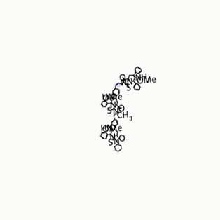 COc1ccccc1C1c2[nH]c3ccccc3c2CC2C(=O)N(C/C=C\c3ccc4c5c([nH]c4c3)C(c3ccccc3OC)N3C(=S)N(C(C)Cc4ccc6c7c([nH]c6c4)C(c4ccccc4OC)N4C(=S)N(C6CCCCC6)C(=O)C4C7)C(=O)C3C5)C(=S)N21